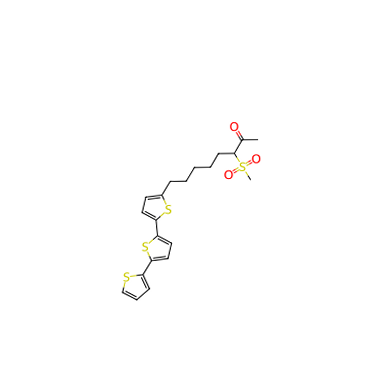 CC(=O)C(CCCCCc1ccc(-c2ccc(-c3cccs3)s2)s1)S(C)(=O)=O